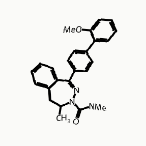 CNC(=O)N1N=C(c2ccc(-c3ccccc3OC)cc2)c2ccccc2CC1C